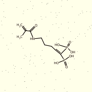 C=C(C)C(=O)NCCCC=C(P(=O)(O)O)P(=O)(O)O